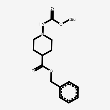 CC(C)(C)OC(=O)NN1CCC(C(=O)OCc2ccccc2)CC1